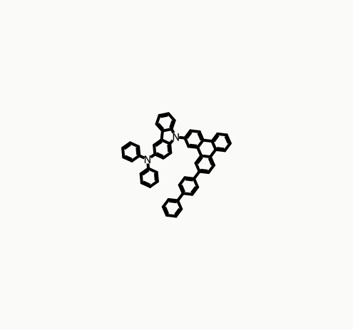 c1ccc(-c2ccc(-c3ccc4c5ccccc5c5ccc(-n6c7ccccc7c7cc(N(c8ccccc8)c8ccccc8)ccc76)cc5c4c3)cc2)cc1